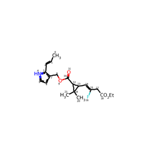 CC=Cc1[nH]ccc1COC(=O)C1C(C=C(F)CC(=O)OCC)C1(C)C